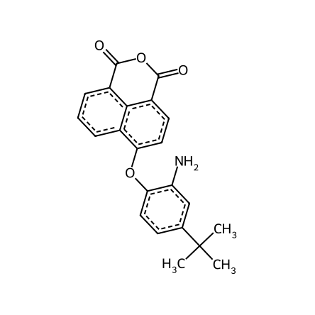 CC(C)(C)c1ccc(Oc2ccc3c4c(cccc24)C(=O)OC3=O)c(N)c1